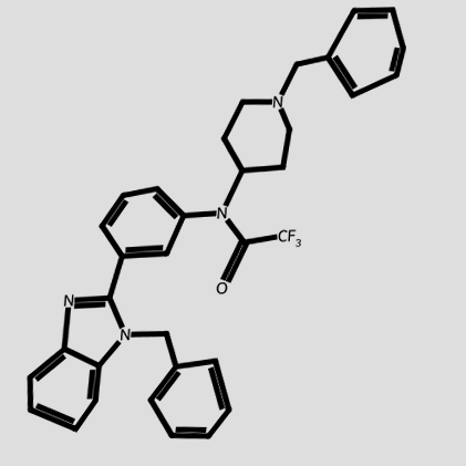 O=C(N(c1cccc(-c2nc3ccccc3n2Cc2ccccc2)c1)C1CCN(Cc2ccccc2)CC1)C(F)(F)F